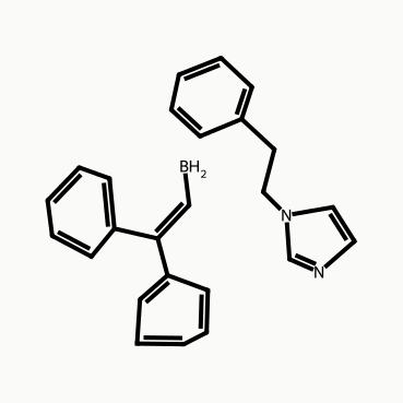 BC=C(c1ccccc1)c1ccccc1.c1ccc(CCn2ccnc2)cc1